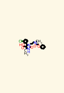 CC1=C(C(=O)O)C(c2cccc(Cl)c2)N(CCCN(C)C(=O)COc2ccccc2)C(=O)N1